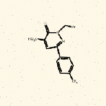 CC(C)Cn1nc(-c2ccc(C(F)(F)F)cc2)cc(C(=O)O)c1=O